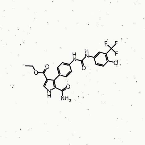 CCOC(=O)c1c[nH]c(C(N)=O)c1-c1ccc(NC(=O)Nc2ccc(Cl)c(C(F)(F)F)c2)cc1